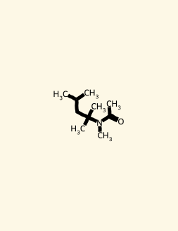 CC(=O)N(C)C(C)(C)CC(C)C